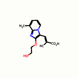 Cc1cccn2c(/C=C(\C#N)C(=O)O)c(OCCO)nc12